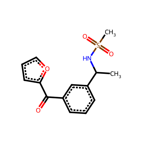 CC(NS(C)(=O)=O)c1cccc(C(=O)c2ccco2)c1